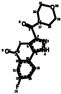 O=C(c1n[nH]c2c1C[S+]([O-])c1cc(F)ccc1-2)N1CCOCC1